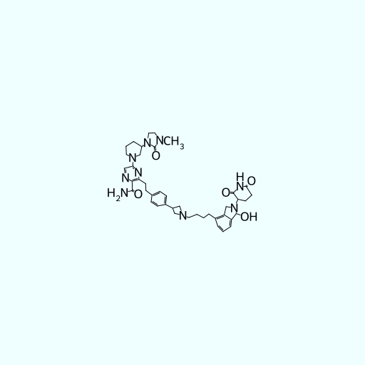 CN1CCN([C@@H]2CCCN(c3cnc(C(N)=O)c(CCc4ccc(C5CN(CCCCc6cccc7c6CN(C6CCC(=O)NC6=O)C7O)C5)cc4)n3)C2)C1=O